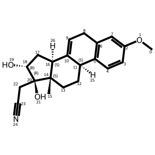 COc1ccc2c(c1)CC=C1[C@@H]2CC[C@@]2(C)[C@H]1C[C@@H](O)[C@@]2(O)CC#N